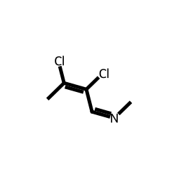 C/N=C\C(Cl)=C(/C)Cl